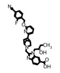 CC[C@H](O)Cn1c(CN2CC3CC2CC3c2cccc(OCc3ccc(C#N)cc3F)n2)nc2ccc(C(=O)O)cc21